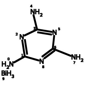 Nc1nc(N)nc(N)n1.[BiH3]